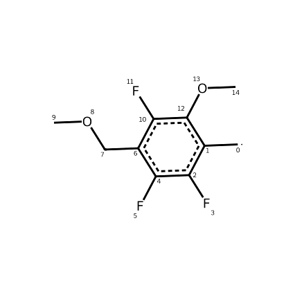 [CH2]c1c(F)c(F)c(COC)c(F)c1OC